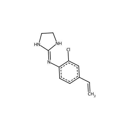 C=Cc1ccc(N=C2NCCN2)c(Cl)c1